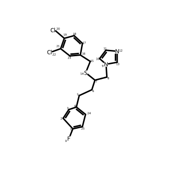 Fc1ccc(CCC(Cn2ccnc2)SCc2ccc(Cl)c(Cl)c2)cc1